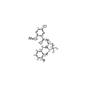 COc1ccc(Cl)cc1C(=O)N=C1SC(C)(C)CN1Cc1cccc(F)c1F